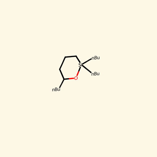 CCCCC1CCC[Si](CCCC)(CCCC)O1